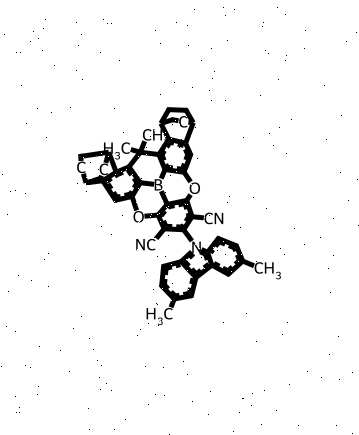 Cc1ccc2c(c1)c1cc(C)ccc1n2-c1c(C#N)c2c3c(c1C#N)Oc1cc4c(c5c1B3c1c(cc3c(c1C5(C)C)C1CCC3CC1)O2)C1CCC4CC1